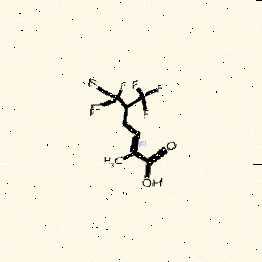 C/C(=C\CC(C(F)(F)F)C(F)(F)F)C(=O)O